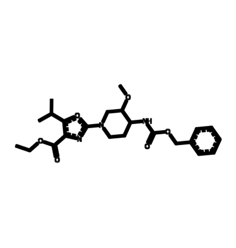 CCOC(=O)c1nc(N2CCC(NC(=O)OCc3ccccc3)C(OC)C2)oc1C(C)C